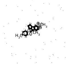 CN1CCC(OC(=O)C(C)(c2ccc(S(C)(=O)=O)cc2)C2CCCC2)CC1